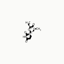 CC[C@@H](C=O)O[C@H](COC)n1ccc(=O)[nH]c1=O